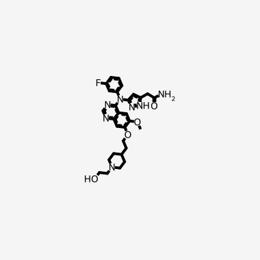 COc1cc2c(N(c3cccc(F)c3)c3cc(CC(N)=O)[nH]n3)ncnc2cc1OCCC1CCN(CCO)CC1